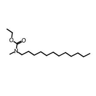 CCCCCCCCCCCCN(C)C(=O)OCC